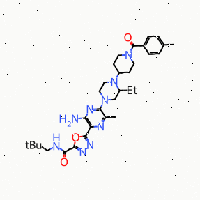 CCC1CN(c2nc(N)c(-c3nnc(C(=O)NCC(C)(C)C)o3)nc2C)CCN1C1CCN(C(=O)c2ccc(C)cc2)CC1